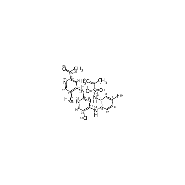 C=C(C)S(=O)(=O)Nc1cc(F)ccc1Nc1nc(Nc2cc(C(C)=O)ncc2C)ncc1Cl